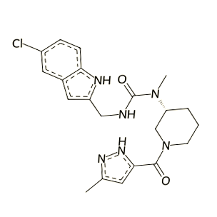 Cc1cc(C(=O)N2CCC[C@@H](N(C)C(=O)NCc3cc4cc(Cl)ccc4[nH]3)C2)[nH]n1